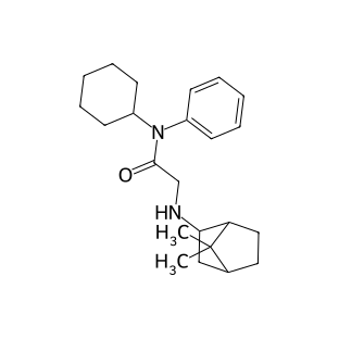 CC1(C)C2CCC1C(NCC(=O)N(c1ccccc1)C1CCCCC1)C2